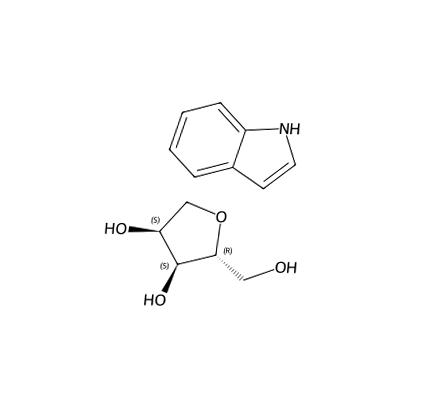 OC[C@H]1OC[C@H](O)[C@@H]1O.c1ccc2[nH]ccc2c1